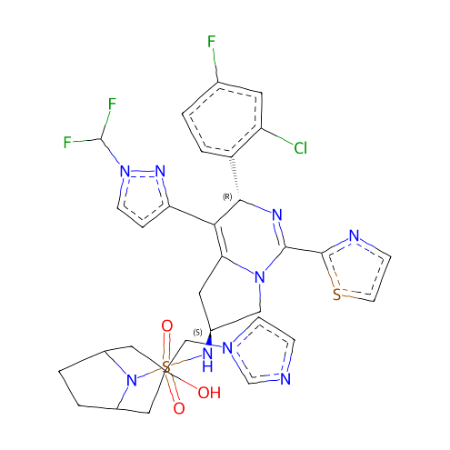 O=S(=O)(N[C@H]1CC2=C(c3ccn(C(F)F)n3)[C@H](c3ccc(F)cc3Cl)N=C(c3nccs3)N2C1)N1C2CCC1CC(O)(Cn1ccnc1)C2